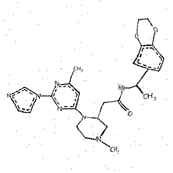 Cc1cc(N2CCN(C)CC2CC(=O)NC(C)c2ccc3c(c2)OCCO3)nc(-n2ccnc2)n1